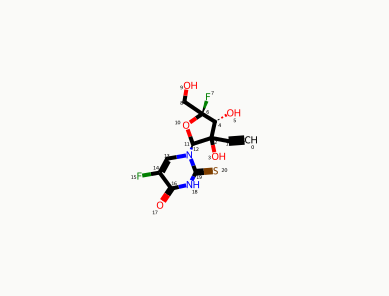 C#CC1(O)[C@@H](O)[C@@](F)(CO)O[C@H]1n1cc(F)c(=O)[nH]c1=S